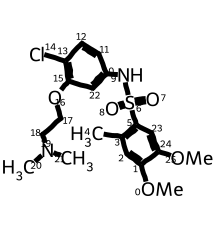 COc1cc(C)c(S(=O)(=O)Nc2ccc(Cl)c(OCCN(C)C)c2)cc1OC